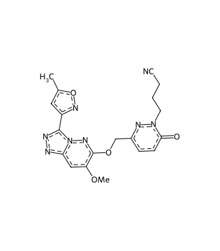 COc1cc2nnc(-c3cc(C)on3)n2nc1OCc1ccc(=O)n(CCCC#N)n1